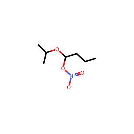 CCCC(OC(C)C)O[N+](=O)[O-]